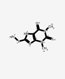 CCCSc1nc2c([nH]1)c(=O)n(C)c(=S)n2C